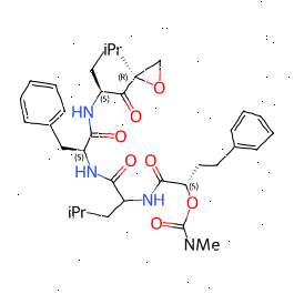 CNC(=O)O[C@@H](CCc1ccccc1)C(=O)NC(CC(C)C)C(=O)N[C@@H](Cc1ccccc1)C(=O)N[C@@H](CC(C)C)C(=O)[C@@]1(C)CO1